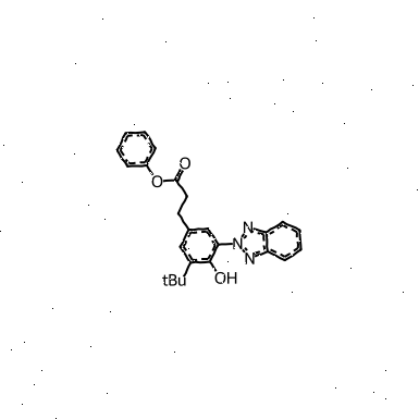 CC(C)(C)c1cc(CCC(=O)Oc2ccccc2)cc(-n2nc3ccccc3n2)c1O